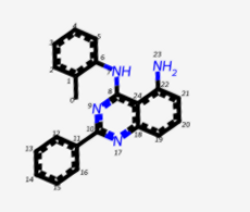 Cc1ccccc1Nc1nc(-c2ccccc2)nc2cccc(N)c12